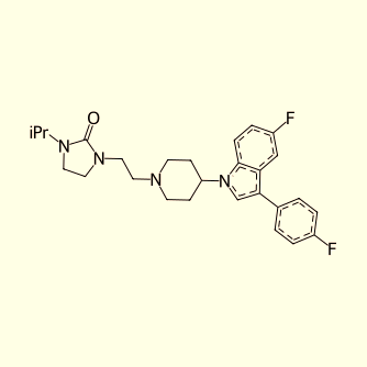 CC(C)N1CCN(CCN2CCC(n3cc(-c4ccc(F)cc4)c4cc(F)ccc43)CC2)C1=O